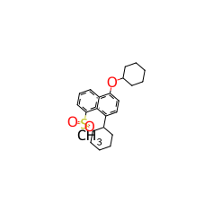 CS(=O)(=O)c1cccc2c(OC3CCCCC3)ccc(C3CCCCC3)c12